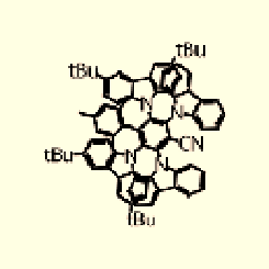 Cc1cc(C)c(-c2c(-n3c4ccc(C(C)(C)C)cc4c4cc(C(C)(C)C)ccc43)c(-n3c4ccccc4c4ccccc43)c(C#N)c(-n3c4ccccc4c4ccccc43)c2-n2c3ccc(C(C)(C)C)cc3c3cc(C(C)(C)C)ccc32)c(C)c1